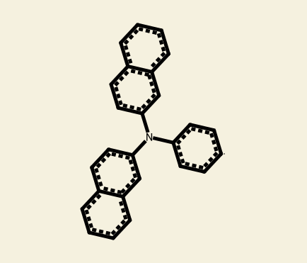 [c]1ccc(N(c2ccc3ccccc3c2)c2ccc3ccccc3c2)cc1